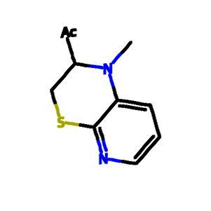 CC(=O)C1CSc2ncccc2N1C